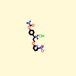 CN(C)C(=O)Oc1ccc(C(CCOc2cccc([N+](=O)[O-])n2)N(C)C)cc1.Cl